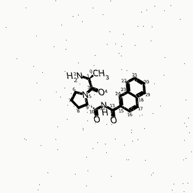 C[C@H](N)C(=O)N1CCC[C@H]1C(=O)NC(=O)c1ccc2ccccc2c1